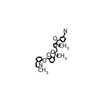 Cc1ccc2cccc(OCc3cccc(N(C)C(=O)Cc4ccc(C(=O)c5cccc(C#N)c5)n4C)c3Cl)c2n1